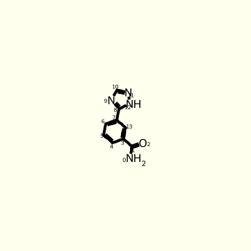 NC(=O)c1cccc(-c2ncn[nH]2)c1